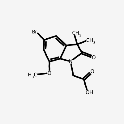 COc1cc(Br)cc2c1N(CC(=O)O)C(=O)C2(C)C